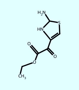 CCOC(=O)C(=O)C1=CSC(N)N1